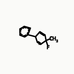 CC1(F)[C]=CC(c2ccccc2)C=C1